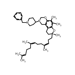 CC(C)=CCCC(C)=CCCC(C)=CCC[C@]1(C)CCc2c3c(c(C)c(C)c2O1)OCN(C1CCN(Cc2ccccc2)CC1)C3